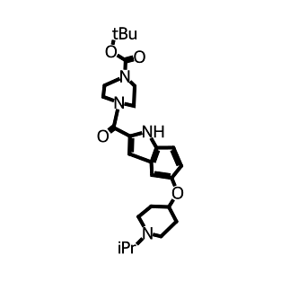 CC(C)N1CCC(Oc2ccc3[nH]c(C(=O)N4CCN(C(=O)OC(C)(C)C)CC4)cc3c2)CC1